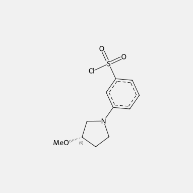 CO[C@H]1CCN(c2cccc(S(=O)(=O)Cl)c2)C1